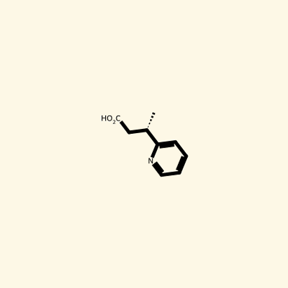 C[C@@H](CC(=O)O)c1ccccn1